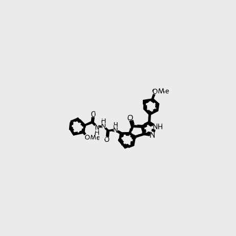 COc1ccc(-c2[nH]nc3c2C(=O)c2c(NC(=O)NNC(=O)c4ccccc4OC)cccc2-3)cc1